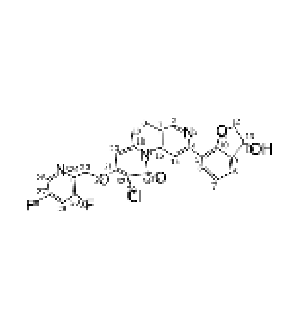 Cc1cnc(-c2cccc3c2OC[C@H]3O)cc1-n1c(C)cc(OCc2ncc(F)cc2F)c(Cl)c1=O